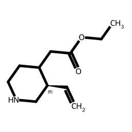 C=C[C@H]1CNCCC1CC(=O)OCC